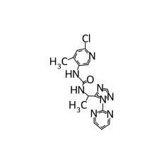 Cc1cc(Cl)ncc1NC(=O)NC(C)c1ncnn1-c1ncccn1